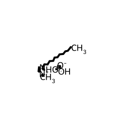 CCCCCCCCCCCCn1cc[n+](C)c1.[O-]P(O)O